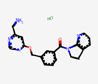 Cl.NCc1cc(OCc2cccc(C(=O)N3CCc4cccnc43)c2)ncn1